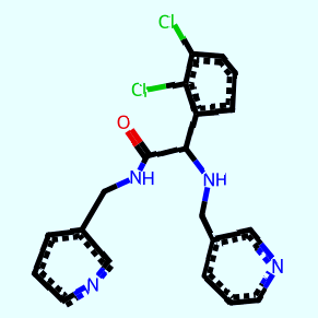 O=C(NCc1cccnc1)C(NCc1cccnc1)c1cccc(Cl)c1Cl